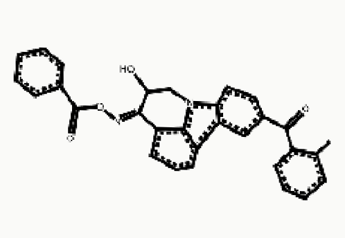 Cc1ccccc1C(=O)c1ccc2c(c1)c1cccc3c1n2CC(O)/C3=N\OC(=O)c1ccccc1